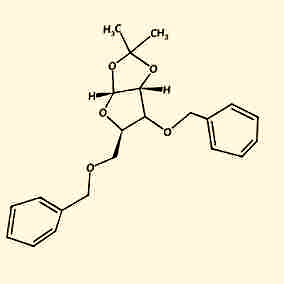 CC1(C)O[C@H]2O[C@H](COCc3ccccc3)C(OCc3ccccc3)[C@H]2O1